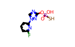 O=P(O)(S)Oc1ncn(-c2cccc(F)n2)n1